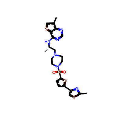 Cc1nc(-c2ccc(S(=O)(=O)N3CCN(C[C@H](C)Nc4ncnc5c(C)csc45)CC3)s2)cs1